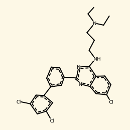 CCN(CC)CCCNc1nc(-c2cccc(-c3cc(Cl)cc(Cl)c3)c2)nc2cc(Cl)ccc12